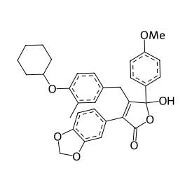 COc1ccc(C2(O)OC(=O)C(c3ccc4c(c3)OCO4)=C2Cc2ccc(OC3CCCCC3)c(C)c2)cc1